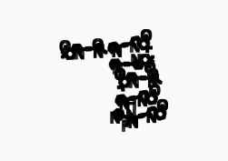 CC1(C)CC(=O)c2ccc(C#Cc3ccccn3)nc2C1.CC1(C)CCc2nc(C#Cc3ccccn3)ccc2C1=O.Cc1coc(C#Cc2ccc3c(n2)CC(C)(C)CC3=O)n1.Cc1coc(C#Cc2ccc3c(n2)CCC(C)(C)C3=O)n1.O=C1CCCc2nc(C#Cc3ccccn3)ccc21.O=C1CCCc2nc(C#Cc3nc(F)c(-c4cccnc4)[nH]3)ccc21